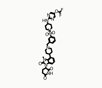 Cn1c(=O)n(C2CCC(=O)NC2=O)c2cccc(C3CCN(Cc4cccc(S(=O)(=O)N5CCC(Nc6ncc(OC(F)F)cn6)CC5)c4)CC3)c21